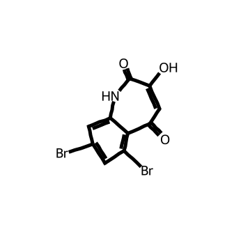 O=c1[nH]c2cc(Br)cc(Br)c2c(=O)cc1O